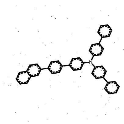 c1ccc(-c2ccc(N(c3ccc(-c4ccccc4)cc3)c3ccc(-c4ccc(-c5ccc6ccccc6c5)cc4)cc3)cc2)cc1